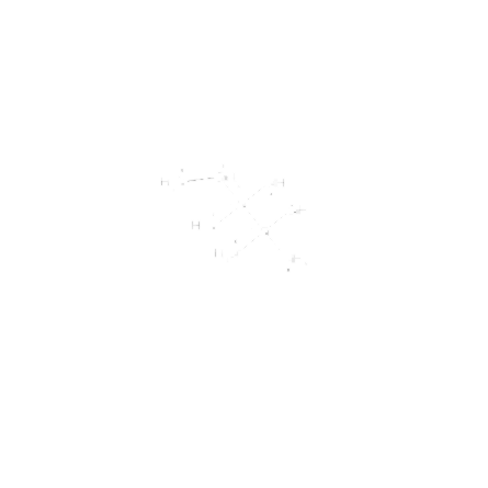 [SiH3][SiH2][Si]([SiH3])([SiH3])[Si]([SiH3])([SiH3])[SiH3]